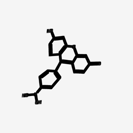 O=c1ccc2c(-c3ccc(B(O)O)cc3)c3ccc(O)cc3oc-2c1